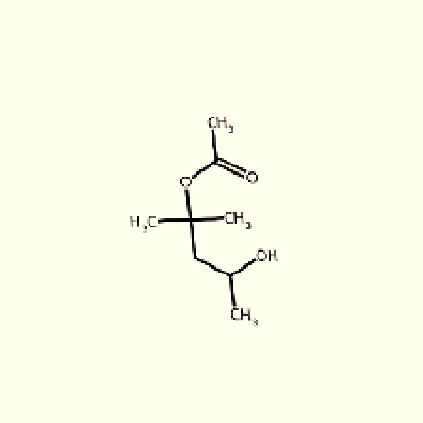 CC(=O)OC(C)(C)CC(C)O